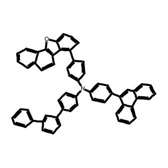 c1ccc(-c2cccc(-c3ccc(N(c4ccc(-c5cc6ccccc6c6ccccc56)cc4)c4ccc(-c5cccc6oc7c8ccccc8ccc7c56)cc4)cc3)c2)cc1